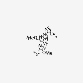 COCc1cc(Nc2ncc(C(F)(F)F)c(OC)n2)c2ncc(-c3nscc3C(F)(F)F)nc2n1